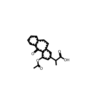 CC(=O)Oc1cc(C(C)C(=O)O)cc2ccc3ccccc3c(=O)c12